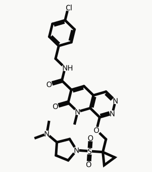 CN(C)C1CCN(S(=O)(=O)C2(COc3nncc4cc(C(=O)NCc5ccc(Cl)cc5)c(=O)n(C)c34)CC2)C1